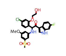 COc1cc(NC(C(=O)c2c[nH]c3cc(F)ccc23)c2ccc(Cl)cc2OCCO)cc(S(C)(=O)=O)c1